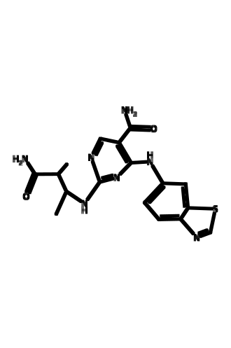 CC(Nc1ncc(C(N)=O)c(Nc2ccc3ncsc3c2)n1)C(C)C(N)=O